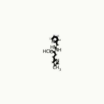 Cl.Cn1cnc(CCC(=O)NNCc2ccccn2)c1